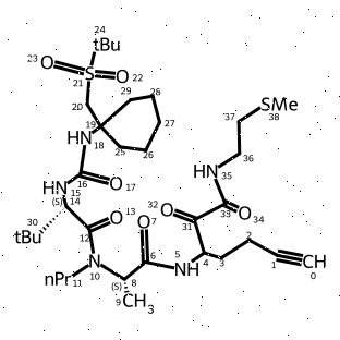 C#CCCC(NC(=O)[C@H](C)N(CCC)C(=O)[C@@H](NC(=O)NC1(CS(=O)(=O)C(C)(C)C)CCCCC1)C(C)(C)C)C(=O)C(=O)NCCSC